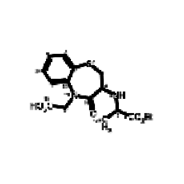 CCOC(=O)C(C)NC1CSc2ccccc2N(CC(=O)O)C1=O